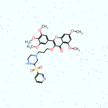 COc1cc(OC)c2c(=O)c(OCCCN3CCNC(S(=O)(=O)c4cccnc4)C3)c(-c3cc(OC)c(OC)c(OC)c3)oc2c1